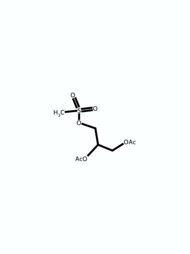 CC(=O)OCC(COS(C)(=O)=O)OC(C)=O